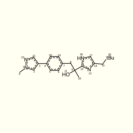 Cn1cc(-c2ccc(CC(C)(O)c3nc(CC(C)(C)C)c[nH]3)cc2)cn1